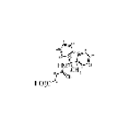 CC(NC(=O)CCC(=O)O)(c1ccccc1)c1ccccc1